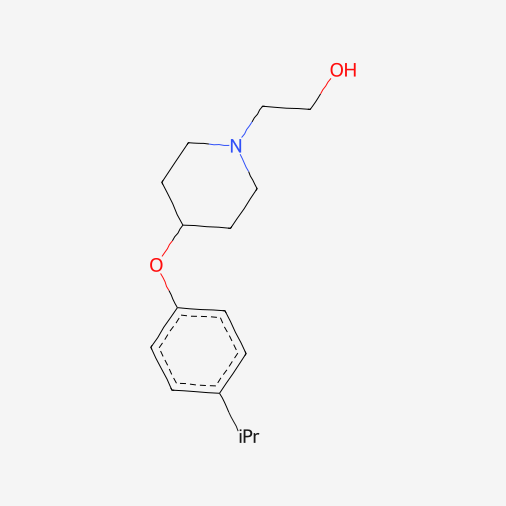 CC(C)c1ccc(OC2CCN(CCO)CC2)cc1